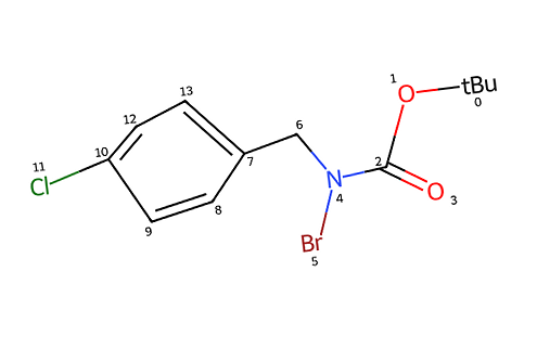 CC(C)(C)OC(=O)N(Br)Cc1ccc(Cl)cc1